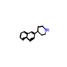 [c]1ccc2cc(C3CCNCC3)ccc2c1